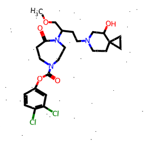 COCC(CCN1CCC2(CC2)C(O)C1)N1CCN(C(=O)Oc2ccc(Cl)c(Cl)c2)CCC1=O